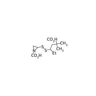 CCC(CC(C)(C)C(=O)O)SSC1CN1C(=O)O